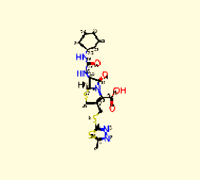 Cc1nnc(SCC2=C(C(=O)O)N3C(=O)C(NC(=O)NC4CCCCC4)[C@@H]3SC2)s1